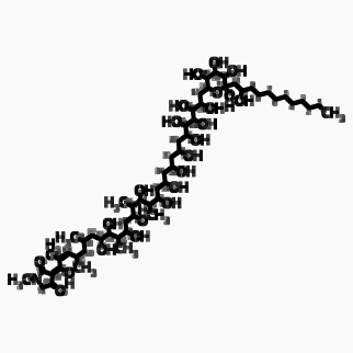 CCCCCCCCCCC(O)CC1(O)OC(CC(O)C(O)C(O)C(O)C(O)CC(O)CC(O)CC(O)CC(O)C(C)C(O)C(C)C(O)CC(O)C(C)C(O)C(O)CC(C)CC(C)C=C(C)C(O)=C2C(=O)CN(C)C2=O)C(O)C(O)C1O